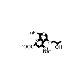 CCCc1ccc(OCC(C)O)c2c(=O)cc(C(=O)[O-])sc12.[Na+]